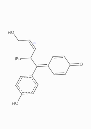 CCC(C)C(/C=C\CO)C(=C1C=CC(=O)C=C1)c1ccc(O)cc1